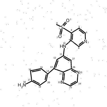 CS(=O)(=O)c1ccncc1Nc1cc(-c2ccc(N)cc2)c2nccnc2c1